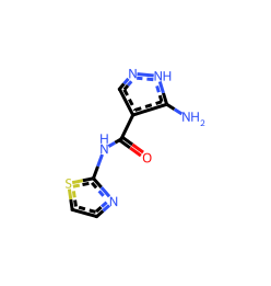 Nc1[nH]ncc1C(=O)Nc1nccs1